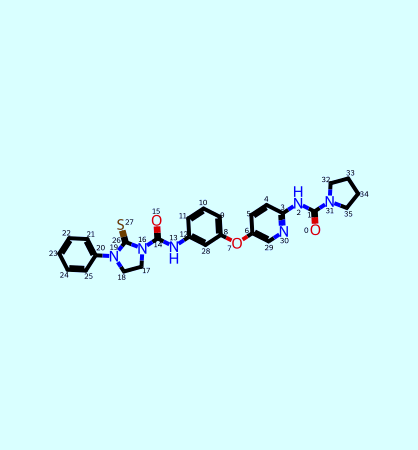 O=C(Nc1ccc(Oc2cccc(NC(=O)N3CCN(c4ccccc4)C3=S)c2)cn1)N1CCCC1